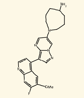 COc1cc2c(-c3cnn4cc(N5CCCC(N)CCC5)cnc34)ccnc2cc1F